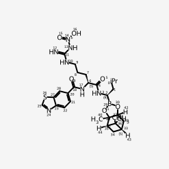 CC(C)C[C@H](NC(=O)[C@H](CCCNC(=N)N[N+](=O)O)NC(=O)c1ccc2ncsc2c1)B1O[C@@H]2C[C@@H]3C[C@@H](C3(C)C)[C@]2(C)O1